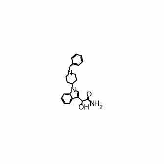 NC(=O)C(O)c1cn(C2CCN(Cc3ccccc3)CC2)c2ccccc12